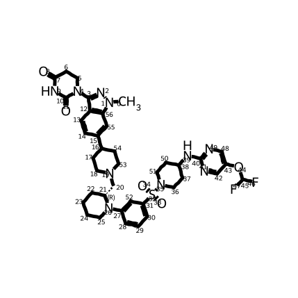 Cn1nc(N2CCC(=O)NC2=O)c2ccc(C3CCN(C[C@H]4CCCCN4c4cccc(S(=O)(=O)N5CCC(Nc6ncc(OC(F)F)cn6)CC5)c4)CC3)cc21